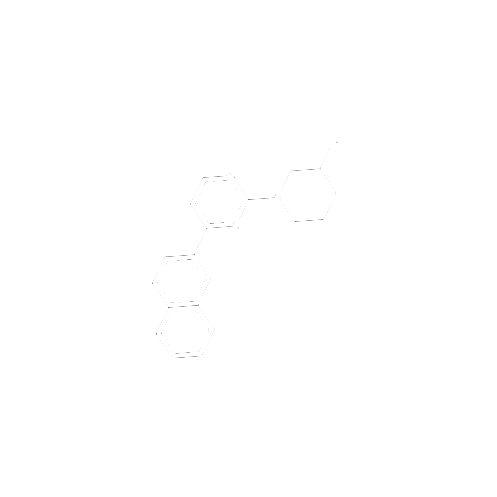 OC1CCCN(c2nccc(-c3ccc4ccccc4c3)n2)C1